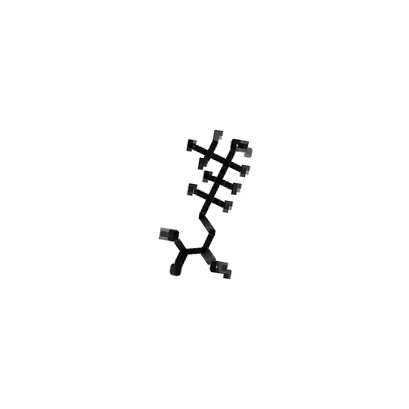 C=C(CCC(F)(F)C(F)(F)C(C)(F)C(F)(F)F)C(=O)O